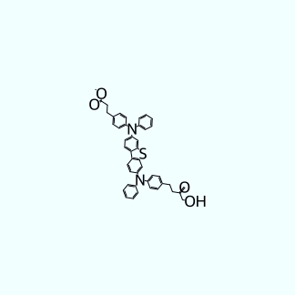 COC(=O)CCc1ccc(N(c2ccccc2)c2ccc3c(c2)sc2cc(N(c4ccccc4)c4ccc(CCC(=O)CO)cc4)ccc23)cc1